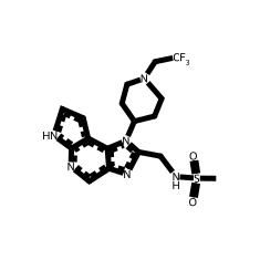 CS(=O)(=O)NCc1nc2cnc3[nH]ccc3c2n1C1CCN(CC(F)(F)F)CC1